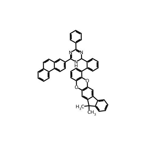 CC1(C)c2ccccc2-c2cc3c(cc21)Oc1cccc(-c2ccccc2C2N=C(c4ccccc4)N=C(c4ccc5c(ccc6ccccc65)c4)N2)c1O3